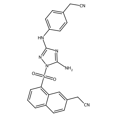 N#CCc1ccc(Nc2nc(N)n(S(=O)(=O)c3cccc4ccc(CC#N)cc34)n2)cc1